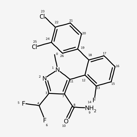 Cn1nc(C(F)F)c(C(N)=O)c1-c1c(F)cccc1-c1ccc(Cl)c(Cl)c1